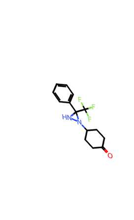 O=C1CCC(N2NC2(c2ccccc2)C(F)(F)F)CC1